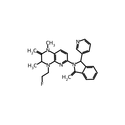 C=C1C(C)N(CCF)c2nc(N3C(=C)c4ccccc4C3c3cccnc3)ccc2N1C